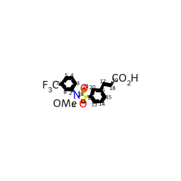 CON(c1cccc(C(F)(F)F)c1)S(=O)(=O)c1cccc(C=CC(=O)O)c1